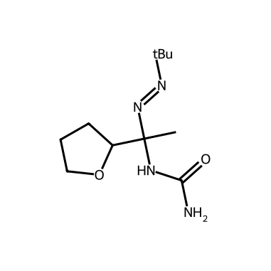 CC(C)(C)N=NC(C)(NC(N)=O)C1CCCO1